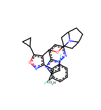 O=C(O)c1cn2nc(N3C4CCC3CC(OCc3c(-c5c(F)cccc5F)noc3C3CC3)C4)ccc2n1